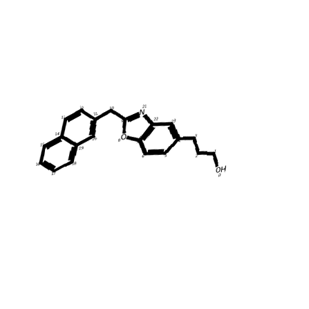 OCCCc1ccc2oc(Cc3ccc4ccccc4c3)nc2c1